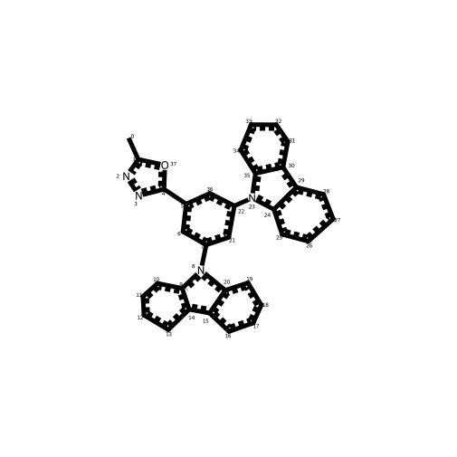 Cc1nnc(-c2cc(-n3c4ccccc4c4ccccc43)cc(-n3c4ccccc4c4ccccc43)c2)o1